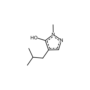 CC(C)Cc1cnn(C)c1O